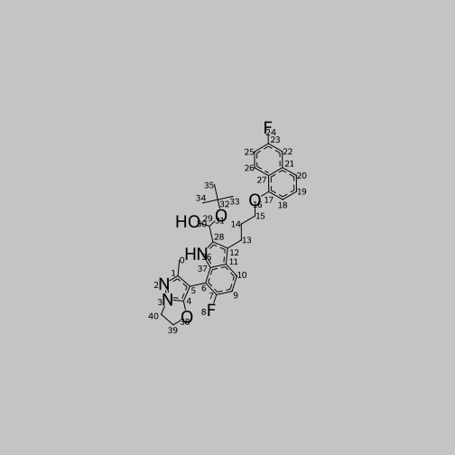 Cc1nn2c(c1-c1c(F)ccc3c(CCCOc4cccc5cc(F)ccc45)c(C(O)OC(C)(C)C)[nH]c13)OCC2